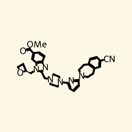 COC(=O)c1ccc2nc(CN3CCN(c4cccc(N5CCc6ccc(C#N)cc6CC5)n4)CC3)n(C[C@@H]3CCO3)c2c1